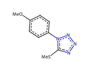 COc1[c]cc(-n2nnnc2SC)cc1